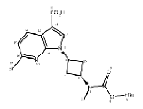 CN(C(=O)OC(C)(C)C)[C@H]1C[C@@H](n2cc(C(=O)O)c3ccc(Br)nc32)C1